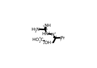 C/C(=N\NC(=N)N)C(C)C.O=C(O)O